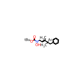 CC(=O)[C@](C)(Cc1ccccc1)/C(C)=C/CN(O)C(=O)OC(C)(C)C